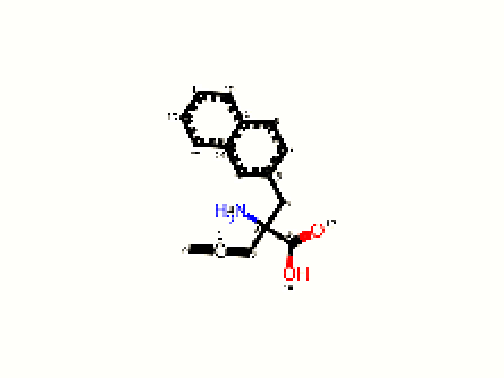 C=C=CC(N)(Cc1ccc2ccccc2c1)C(=O)O